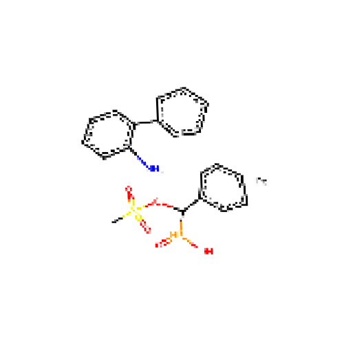 CS(=O)(=O)OC(c1ccccc1)[PH](=O)O.Nc1ccccc1-c1ccccc1.[Pd]